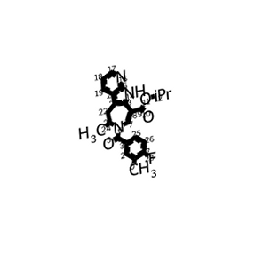 Cc1cc(C(=O)N2C=C(C(=O)OC(C)C)c3[nH]c4ncccc4c3CC2C)ccc1F